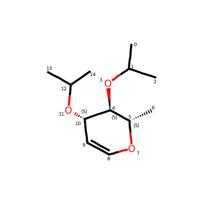 CC(C)O[C@H]1[C@H](C)OC=C[C@@H]1OC(C)C